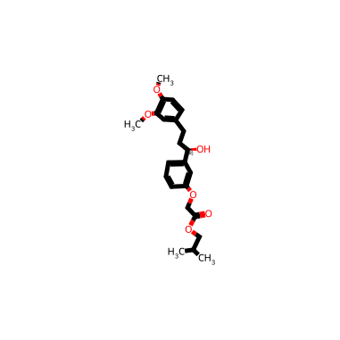 COc1ccc(CC[C@@H](O)c2cccc(OCC(=O)OCC(C)C)c2)cc1OC